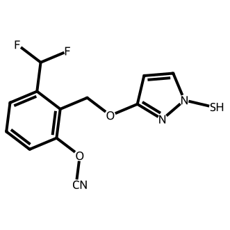 N#COc1cccc(C(F)F)c1COc1ccn(S)n1